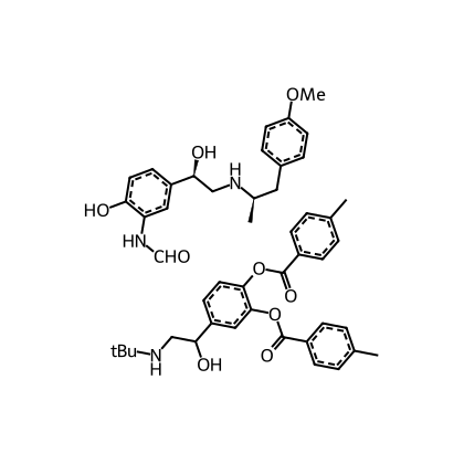 COc1ccc(C[C@@H](C)NC[C@H](O)c2ccc(O)c(NC=O)c2)cc1.Cc1ccc(C(=O)Oc2ccc(C(O)CNC(C)(C)C)cc2OC(=O)c2ccc(C)cc2)cc1